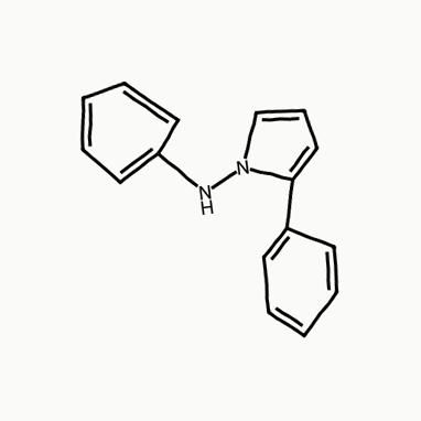 c1ccc(Nn2cccc2-c2ccccc2)cc1